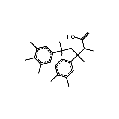 C=C(O)C(C)C(C)(CC(C)(C)c1cc(C)c(C)c(C)c1)c1ccc(C)c(C)c1